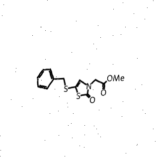 COC(=O)Cn1cc(SCc2ccccc2)sc1=O